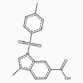 Cc1ccc(S(=O)(=O)n2cc(C)c3ccc(C(=O)O)cc32)cc1